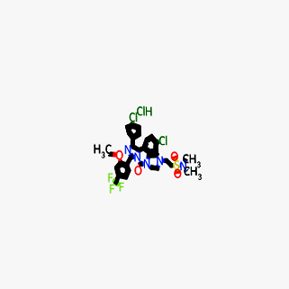 CCOc1cc(C(F)(F)F)ccc1C1=NC(c2ccc(Cl)cc2)C(c2ccc(Cl)cc2)N1C(=O)N1CCN(CCS(=O)(=O)N(C)C)CC1.Cl